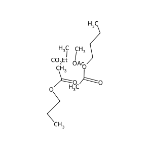 CCCCOC(C)=O.CCCOC(C)=O.CCOC(C)=O.COC(C)=O